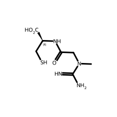 CN(CC(=O)N[C@@H](CS)C(=O)O)C(=N)N